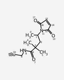 CC(CC(C)(C)C(=O)NCC(C)(C)C)N1C(=O)C=CC1=O